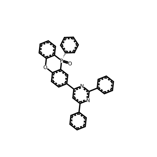 O=[P@]1(c2ccccc2)c2ccccc2Oc2ccc(-c3cc(-c4ccccc4)nc(-c4ccccc4)n3)cc21